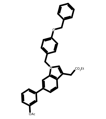 CCOC(=O)Cc1cn(Cc2ccc(OCc3ccccc3)cc2)c2cc(-c3cccc(OC(C)=O)c3)ccc12